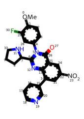 COc1ccc(-n2c(C3CCCN3)nc3c(-c4cccnc4)cc([N+](=O)[O-])cc3c2=O)cc1F